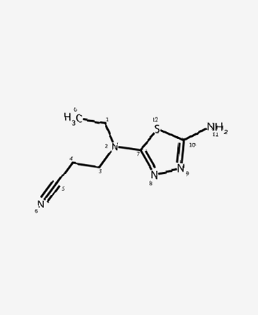 CCN(CCC#N)c1nnc(N)s1